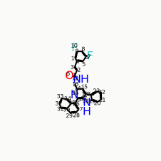 O=C(/C=C/c1cc(F)cc(F)c1)NCc1cc2c([nH]c3ccccc32)c(-c2cccc3ccccc23)n1